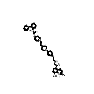 O=C(Nc1ccccc1-c1ccccc1)OC1CCN(CCC2CCN(c3ccc(CCNC[C@@H](O)c4ccc(O)c5[nH]c(=O)ccc45)cc3)CC2)CC1